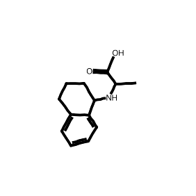 CC(NC1CCCc2ccccc21)C(=O)O